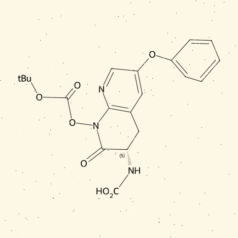 CC(C)(C)OC(=O)ON1C(=O)[C@@H](NC(=O)O)Cc2cc(Oc3ccccc3)cnc21